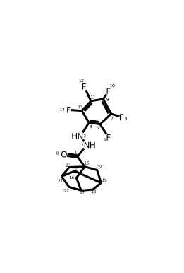 O=C(NNc1c(F)c(F)c(F)c(F)c1F)C12CC3CC(CC(C3)C1)C2